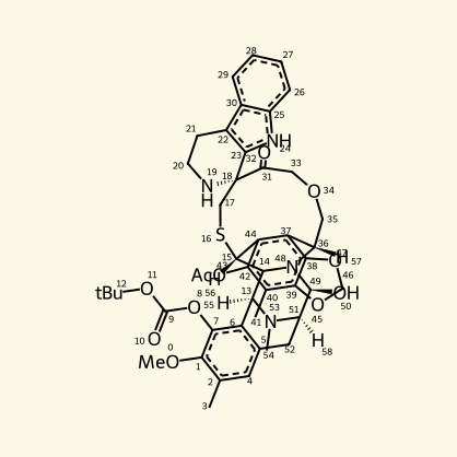 COc1c(C)cc2c(c1OC(=O)OC(C)(C)C)[C@H]1C3[C@@H]4SC[C@]5(NCCc6c5[nH]c5ccccc65)C(=O)COC[C@@H](c5c6c(c(C)c(OC(C)=O)c54)OCO6)N3[C@@H](O)[C@@H](C2)N1C